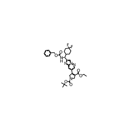 CCOC(=O)C1=C(c2cnn3cc([C@@H](NC(=O)OCc4ccccc4)C4CCC(F)(F)CC4)nc3c2)CN(C(=O)OC(C)(C)C)C1